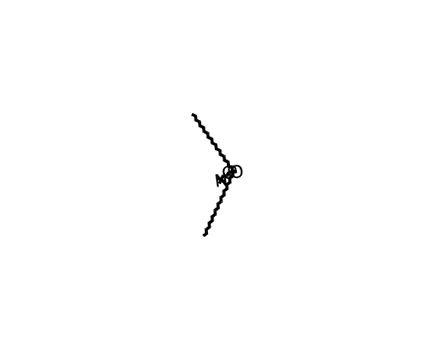 CCCCCCCCCCCCCCCCCCCCP(=O)(CCCCCCCCCCCCCCCCCCCC)OCC[N+](C)(C)C